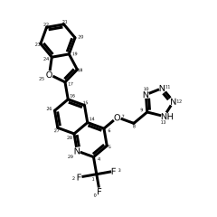 FC(F)(F)c1cc(OCc2nnn[nH]2)c2cc(-c3cc4ccccc4o3)ccc2n1